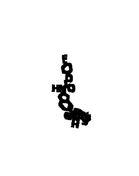 O=C(COc1ccc(F)cc1)NC1Cc2ccc(S(=O)(=O)Nc3nccs3)cc2C1